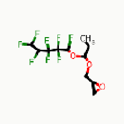 CCC(OCC1CO1)OC(F)C(F)(F)C(F)(F)C(F)C(F)F